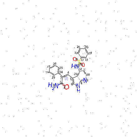 NC(=O)/C(=C\c1c[nH]c2nccc(NS(=O)(=O)c3ccccc3)c12)c1ccccc1